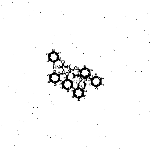 CCP(=NC(C)P(=NP(=N)(Oc1ccccc1)Oc1ccccc1)(Oc1ccccc1)Oc1ccccc1)(Oc1ccccc1)Oc1ccccc1